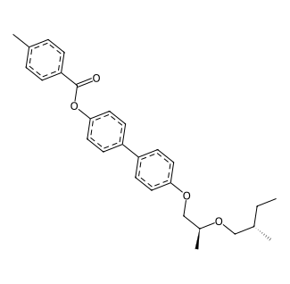 CC[C@H](C)CO[C@@H](C)COc1ccc(-c2ccc(OC(=O)c3ccc(C)cc3)cc2)cc1